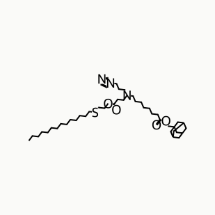 CCCCCCCCCCCCCCSCCOC(=O)CCN(CCCCCCCC(=O)OCC12CC3CC(CC(C3)C1)C2)CCCn1ccnc1